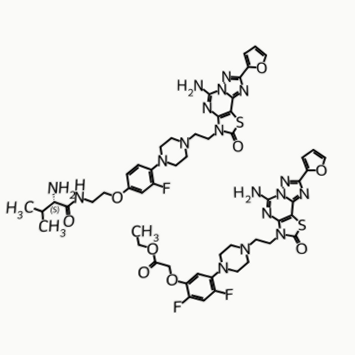 CC(C)[C@H](N)C(=O)NCCOc1ccc(N2CCN(CCn3c(=O)sc4c3nc(N)n3nc(-c5ccco5)nc43)CC2)c(F)c1.CCOC(=O)COc1cc(N2CCN(CCn3c(=O)sc4c3nc(N)n3nc(-c5ccco5)nc43)CC2)c(F)cc1F